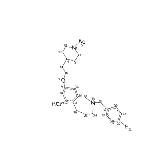 CC(=O)N1CCC(CCOc2ccc3c(c2)CN(Cc2ccc(F)cc2)CCC3)CC1.Cl